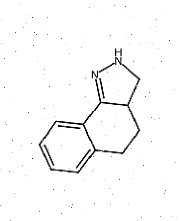 c1ccc2c(c1)CCC1CNN=C21